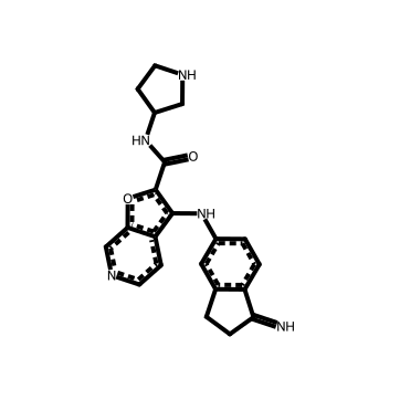 N=C1CCc2cc(Nc3c(C(=O)NC4CCNC4)oc4cnccc34)ccc21